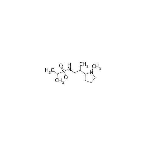 CC(CNS(=O)(=O)C(C)C)C1CCCN1C